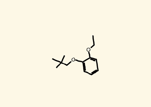 CCOc1ccccc1OCC(C)(C)C